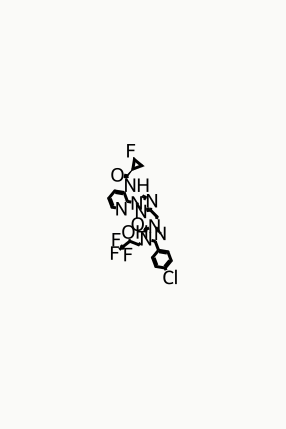 O=C(Nc1cccnc1-n1cnc(Cn2nc(-c3ccc(Cl)cc3)n(C[C@H](O)C(F)(F)F)c2=O)n1)[C@@H]1C[C@H]1F